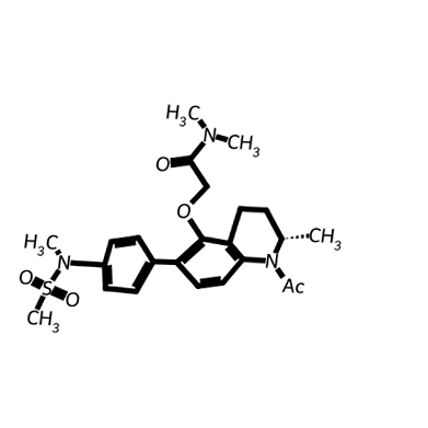 CC(=O)N1c2ccc(-c3ccc(N(C)S(C)(=O)=O)cc3)c(OCC(=O)N(C)C)c2CC[C@@H]1C